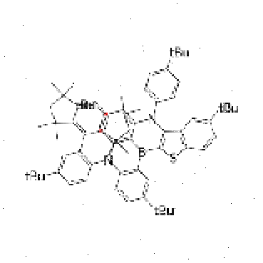 CC(C)(C)c1ccc(N2c3cc(C(C)(C)C)cc4c3B(c3cc(C(C)(C)C)ccc3N4c3ccc(C(C)(C)C)cc3-c3c4c(cc5c3C(C)(C)CC5(C)C)C(C)(C)CC4(C)C)c3sc4ccc(C(C)(C)C)cc4c32)cc1